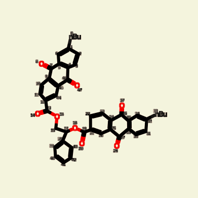 CCCCc1ccc2c(c1)C(=O)c1ccc(C(=O)OCC(OC(=O)c3ccc4c(c3)C(=O)c3ccc(CCCC)cc3C4=O)c3ccccc3)cc1C2=O